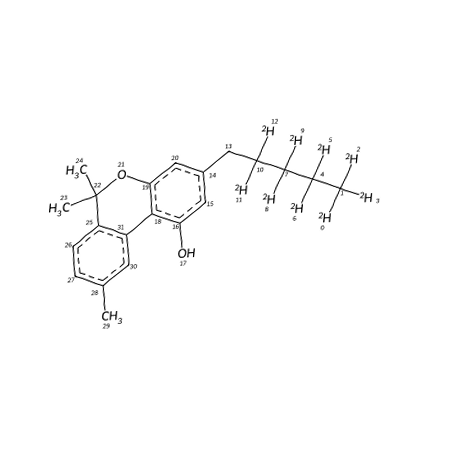 [2H]C([2H])([2H])C([2H])([2H])C([2H])([2H])C([2H])([2H])Cc1cc(O)c2c(c1)OC(C)(C)c1ccc(C)cc1-2